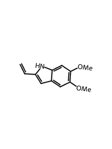 C=Cc1cc2cc(OC)c(OC)cc2[nH]1